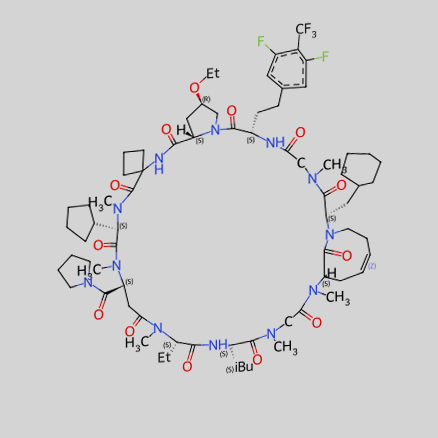 CCO[C@@H]1C[C@H]2C(=O)NC3(CCC3)C(=O)N(C)[C@@H](C3CCCC3)C(=O)N(C)[C@H](C(=O)N3CCCC3)CC(=O)N(C)[C@@H](CC)C(=O)N[C@@H]([C@@H](C)CC)C(=O)N(C)CC(=O)N(C)[C@H]3C/C=C\CCN(C3=O)[C@@H](CC3CCCCC3)C(=O)N(C)CC(=O)N[C@@H](CCc3cc(F)c(C(F)(F)F)c(F)c3)C(=O)N2C1